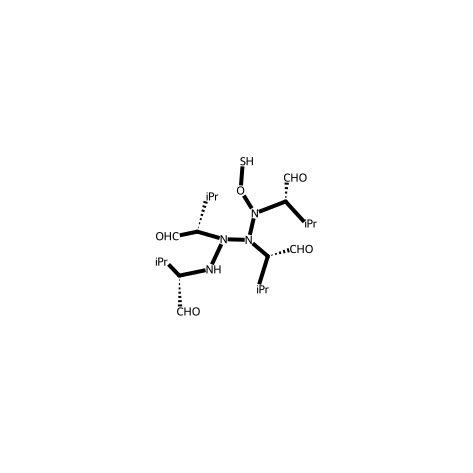 CC(C)[C@@H](C=O)N(N[C@H](C=O)C(C)C)N([C@H](C=O)C(C)C)N(OS)[C@H](C=O)C(C)C